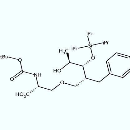 CC(C)[Si](O[C@H]([C@@H](COC[C@@H](NC(=O)OC(C)(C)C)C(=O)O)Cc1ccccc1)[C@H](C)O)(C(C)C)C(C)C